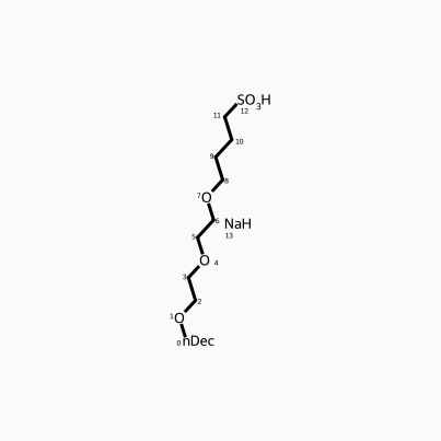 CCCCCCCCCCOCCOCCOCCCCS(=O)(=O)O.[NaH]